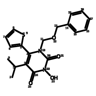 CC(C)c1c(-c2cccs2)n(COCc2ccccc2)c(=O)n(O)c1=O